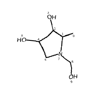 CC1C(O)C(O)CN1CO